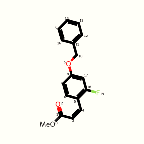 COC(=O)/C=C\c1ccc(OCc2ccccc2)cc1F